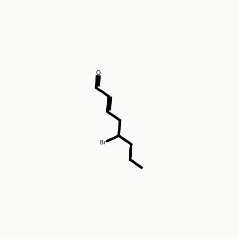 CCCC(Br)C/C=C/C=O